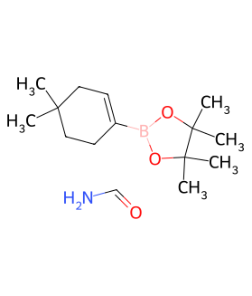 CC1(C)CC=C(B2OC(C)(C)C(C)(C)O2)CC1.NC=O